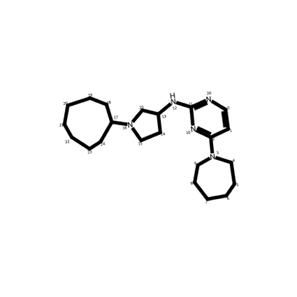 c1cc(N2CCCCCC2)nc(NC2CCN(C3CCCCCCC3)C2)n1